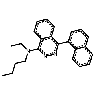 CCCCN(CC)c1nnc(-c2cccc3ccccc23)c2ccccc12